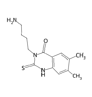 Cc1cc2[nH]c(=S)n(CCCCN)c(=O)c2cc1C